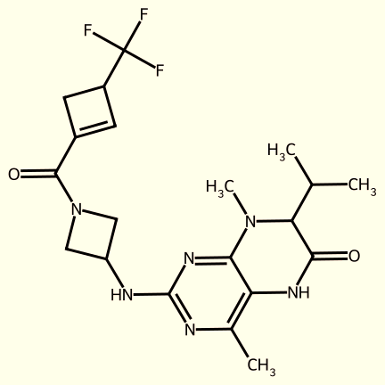 Cc1nc(NC2CN(C(=O)C3=CC(C(F)(F)F)C3)C2)nc2c1NC(=O)C(C(C)C)N2C